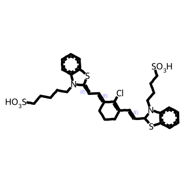 O=S(=O)(O)CCCCCN1/C(=C/C=C2\CCCC(/C=C/C3Sc4ccccc4N3CCCCS(=O)(=O)O)=C2Cl)Sc2ccccc21